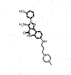 CN1CCN(CCCNc2ccc3c(c2)[nH]c(=O)c2c(N)n(-c4cccc(O)c4)nc23)CC1